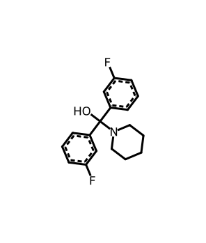 OC(c1cccc(F)c1)(c1cccc(F)c1)N1CCCCC1